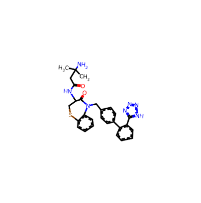 CC(C)(N)CC(=O)NC1CSc2ccccc2N(Cc2ccc(-c3ccccc3-c3nnn[nH]3)cc2)C1=O